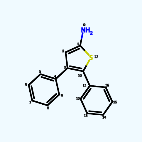 Nc1cc(-c2ccccc2)c(-c2ccccc2)s1